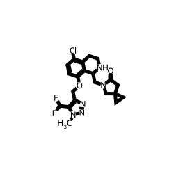 Cn1nnc(COc2ccc(Cl)c3c2C(CN2CC4(CC4)CC2=O)NCC3)c1C(F)F